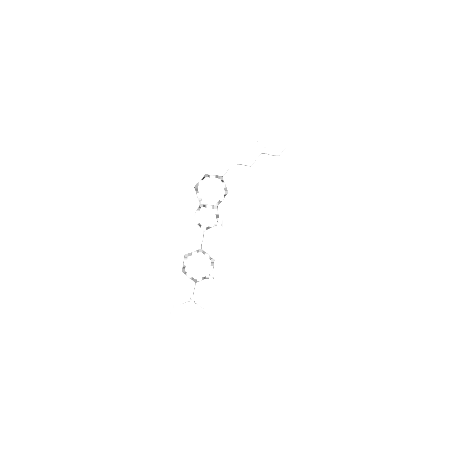 CN(C)c1ccc(-c2nc3cc(OC[C@H](O)CF)ccc3o2)cn1